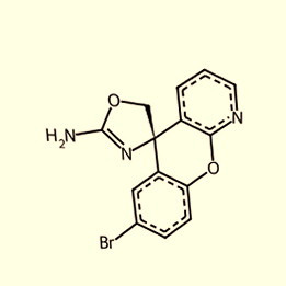 NC1=N[C@@]2(CO1)c1cc(Br)ccc1Oc1ncccc12